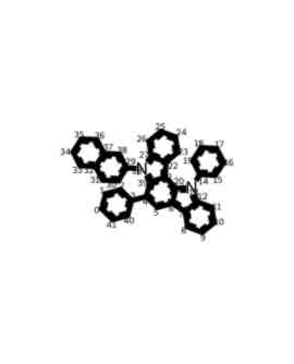 c1ccc(-c2cc3c4ccccc4n(-c4ccccc4)c3c3c4ccccc4n(-c4ccc5ccccc5c4)c23)cc1